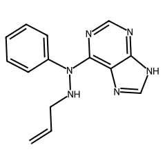 C=CCNN(c1ccccc1)c1ncnc2[nH]cnc12